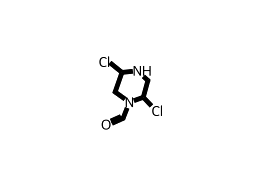 O=CN1CC(Cl)NCC1Cl